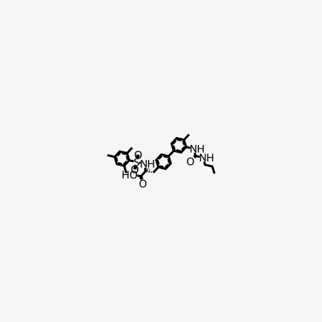 CCCNC(=O)Nc1cc(-c2ccc(C[C@@H](NS(=O)(=O)c3c(C)cc(C)cc3C)C(=O)O)cc2)ccc1C